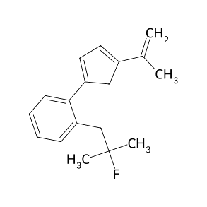 C=C(C)C1=CC=C(c2ccccc2CC(C)(C)F)C1